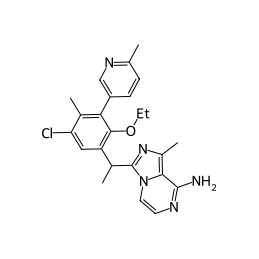 CCOc1c(C(C)c2nc(C)c3c(N)nccn23)cc(Cl)c(C)c1-c1ccc(C)nc1